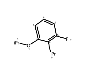 CC(C)Oc1cccc(F)c1C(C)C